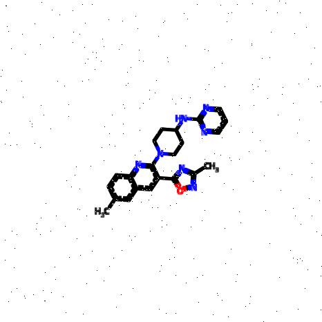 Cc1ccc2nc(N3CCC(Nc4ncccn4)CC3)c(-c3nc(C)no3)cc2c1